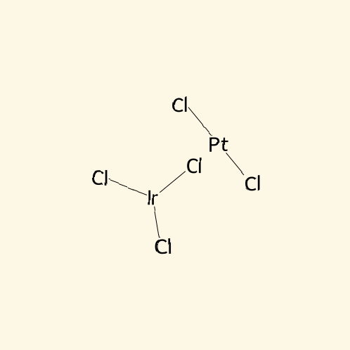 [Cl][Ir]([Cl])[Cl].[Cl][Pt][Cl]